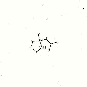 CC(C)CC1(C)COCN1